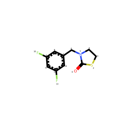 O=C1SCCN1Cc1cc(F)cc(F)c1